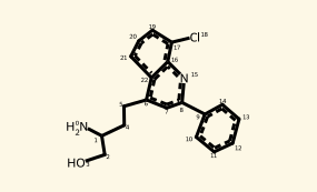 NC(CO)CCc1cc(-c2ccccc2)nc2c(Cl)cccc12